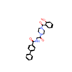 O=C(NCC(=O)N1CCN(C(=O)c2ccccc2O)CC1)c1ccc(-c2ccccc2)cc1